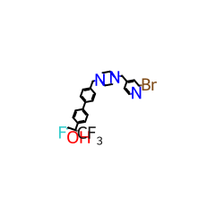 OC(CF)(c1ccc(-c2ccc(CN3CCN(Cc4ccnc(Br)c4)CC3)cc2)cc1)C(F)(F)F